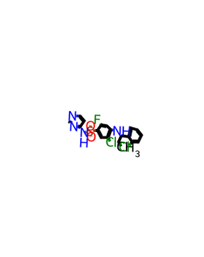 CCC(Nc1cc(F)c(S(=O)(=O)Nc2ccncn2)cc1Cl)c1ccccc1Cl